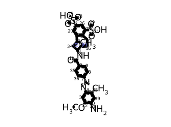 COc1cc(N=Nc2ccc(C(=O)NC3/C=C/Cc4c(cc(S(=O)(=O)O)cc4S(=O)(=O)O)/C(C)=C/3)cc2)c(C)cc1N